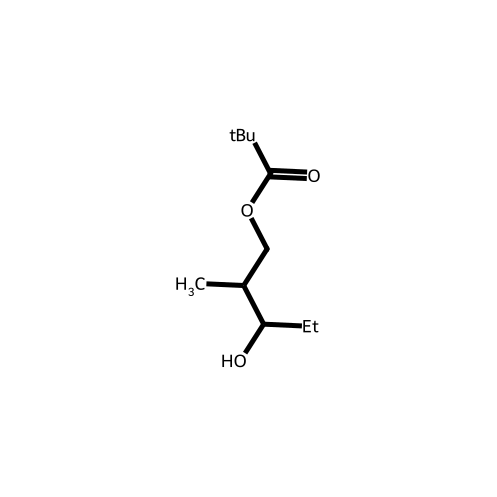 CCC(O)C(C)COC(=O)C(C)(C)C